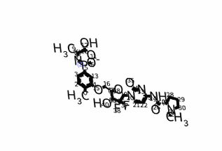 Cc1ccc(/[P+]([O-])=N/[C@@H](C)C(=O)O)cc1OC[C@H]1OC(n2ccc(NC(=O)[C@@H]3CCCN3C)nc2=O)C(F)(F)[C@@H]1O